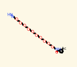 CC(=O)c1cccc(C(=O)NCCOCCOCCOCCOCCOCCOCCOCCOCCOCCOCCN=N)c1